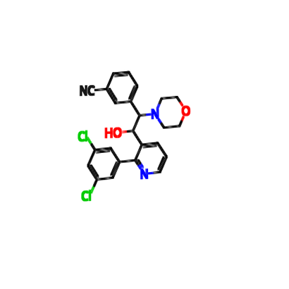 N#Cc1cccc(C(C(O)c2cccnc2-c2cc(Cl)cc(Cl)c2)N2CCOCC2)c1